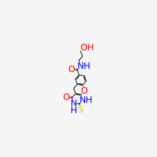 O=C(NCCCO)c1ccc2c(c1)Cc1c([nH]c(=S)[nH]c1=O)O2